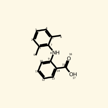 Cc1cccc(C)c1Nc1ccccc1C(=O)O